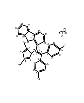 CC1=C[CH]([Zr+2](=[C](c2ccc(C)cc2)c2ccc(C)cc2)[c]2cccc3c2Cc2ccccc2-3)C(C)=C1.[Cl-].[Cl-]